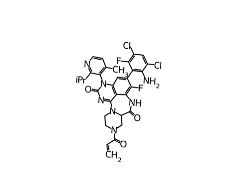 C=CC(=O)N1CCN2c3nc(=O)n(-c4c(C)ccnc4C(C)C)c4cc(-c5c(N)c(Cl)cc(Cl)c5F)c(F)c(c34)NC(=O)C2C1